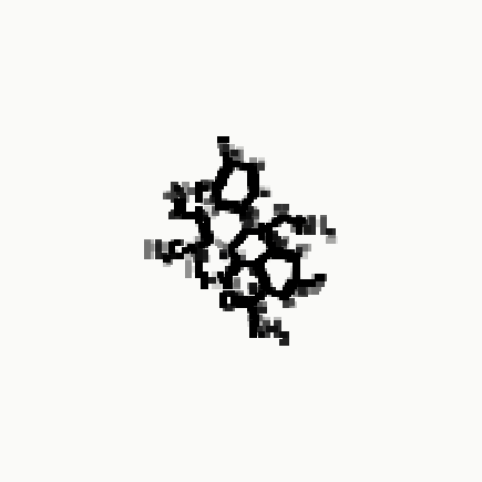 CN/C(=N\C=N)[C@H]1C(=N)c2c(C(N)=O)cc(F)cc2N(CN)[C@@H]1c1ccc(F)cc1